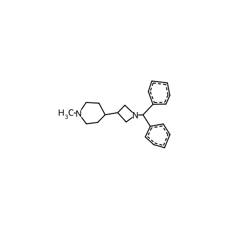 CN1CCC(C2CN(C(c3ccccc3)c3ccccc3)C2)CC1